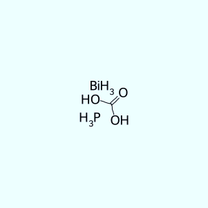 O=C(O)O.P.[BiH3]